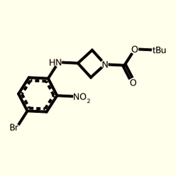 CC(C)(C)OC(=O)N1CC(Nc2ccc(Br)cc2[N+](=O)[O-])C1